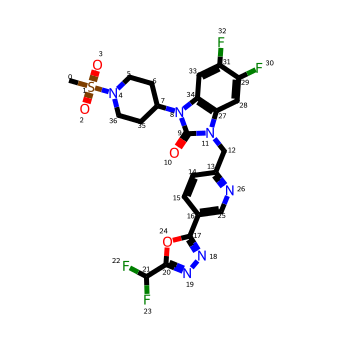 CS(=O)(=O)N1CCC(n2c(=O)n(Cc3ccc(-c4nnc(C(F)F)o4)cn3)c3cc(F)c(F)cc32)CC1